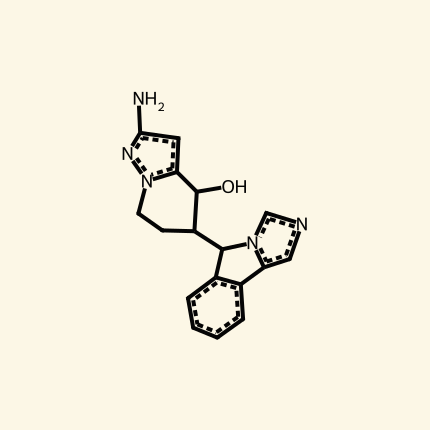 Nc1cc2n(n1)CCC(C1c3ccccc3-c3cncn31)C2O